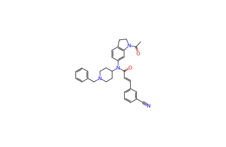 CC(=O)N1CCc2ccc(N(C(=O)C=Cc3cccc(C#N)c3)C3CCN(Cc4ccccc4)CC3)cc21